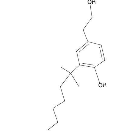 CCCCCC(C)(C)c1cc(CCO)ccc1O